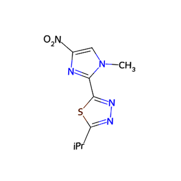 CC(C)c1nnc(-c2nc([N+](=O)[O-])cn2C)s1